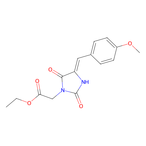 CCOC(=O)CN1C(=O)N/C(=C\c2ccc(OC)cc2)C1=O